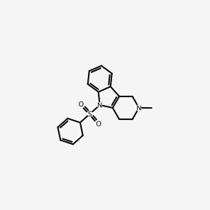 CN1CCc2c(c3ccccc3n2S(=O)(=O)C2C=CC=CC2)C1